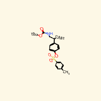 COC(CNC(=O)OC(C)(C)C)c1ccc(OS(=O)(=O)c2ccc(C)cc2)cc1